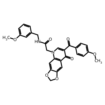 COc1ccc(C(=O)c2cn(CC(=O)NCc3cccc(OC)c3)c3cc4c(cc3c2=O)OCO4)cc1